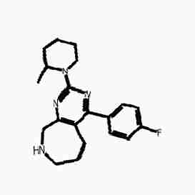 CC1CCCCN1c1nc2c(c(-c3ccc(F)cc3)n1)CCCNC2